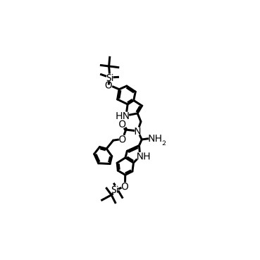 CC(C)(C)[Si](C)(C)Oc1ccc2cc(CN(C(=O)OCc3ccccc3)C(N)c3cc4ccc(O[Si](C)(C)C(C)(C)C)cc4[nH]3)[nH]c2c1